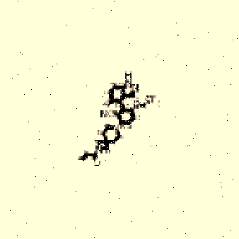 C=CC(=O)N1CC2(CCN(c3ccc(OCC(F)(F)F)c(-c4c(C)ccc5[nH]ncc45)c3C#N)CC2)C1